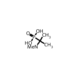 CNC(C)(C)P(=O)(O)O